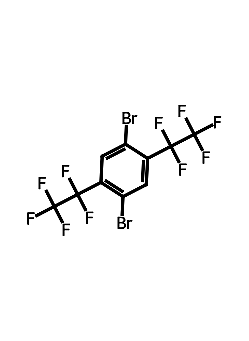 FC(F)(F)C(F)(F)c1cc(Br)c(C(F)(F)C(F)(F)F)cc1Br